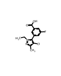 CCn1nc(C)c(Cl)c1-c1cc(F)cc(C(=O)O)c1